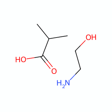 CC(C)C(=O)O.NCCO